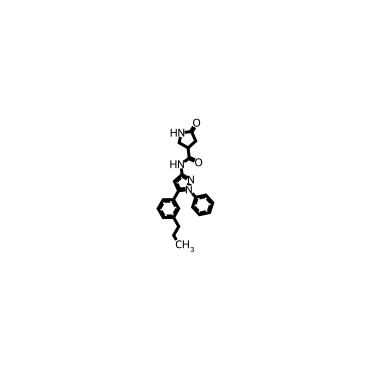 CCCc1cccc(-c2cc(NC(=O)C3CNC(=O)C3)nn2-c2ccccc2)c1